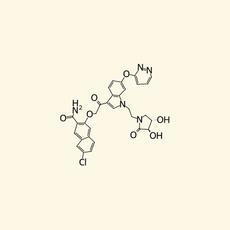 NC(=O)c1cc2cc(Cl)ccc2cc1OCC(=O)c1cn(CCN2C[C@H](O)[C@@H](O)C2=O)c2cc(Oc3cccnn3)ccc12